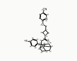 N#Cc1ccc(OCC2CN(C(=O)CC3(c4ccc(F)cc4)C4CC5CC(C4)CC3C5)C2)nc1